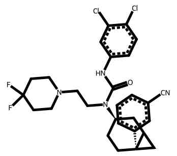 N#Cc1cccc([C@]23CC[C@@H](N(CCN4CCC(F)(F)CC4)C(=O)Nc4ccc(Cl)c(Cl)c4)CC2C3)c1